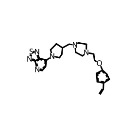 C=Cc1ccc(OCCN2CCN(CC3CCN(c4ccnc5nsnc45)CC3)CC2)cc1